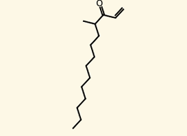 C=CC(=O)C(C)CCCCCCCCCC